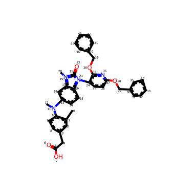 Cc1cc(CC(=O)O)ccc1N(C)c1ccc2c(c1)n(C)c(=O)n2-c1ccc(OCc2ccccc2)nc1OCc1ccccc1